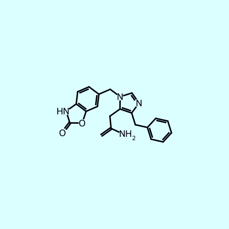 C=C(N)Cc1c(Cc2ccccc2)ncn1Cc1ccc2[nH]c(=O)oc2c1